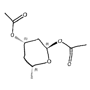 CC(=O)O[C@@H]1C[C@@H](OC(C)=O)O[C@H](C)C1